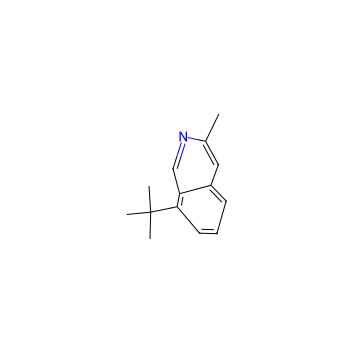 Cc1cc2cccc(C(C)(C)C)c2cn1